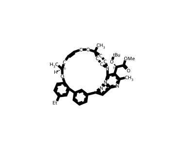 CCc1ccc2c(c1)-c1cccc(c1)-c1cc3nc(C)c([C@H](OC(C)(C)C)C(=O)OC)c(n3n1)N1CCC(C)(CC1)OCC=CC[C@H](C)O2